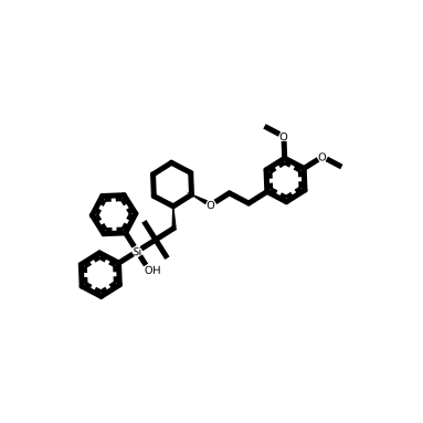 COc1ccc(CCO[C@@H]2CCCC[C@@H]2CC(C)(C)[Si](O)(c2ccccc2)c2ccccc2)cc1OC